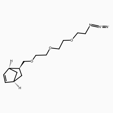 [N-]=[N+]=NCCOCCOCCOC[C@H]1C[C@H]2C=C[C@@H]1C2